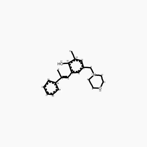 CC(=Cc1cc(CN2CCOCC2)cc(C)c1O)c1ccccc1